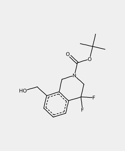 CC(C)(C)OC(=O)N1Cc2c(CO)cccc2C(F)(F)C1